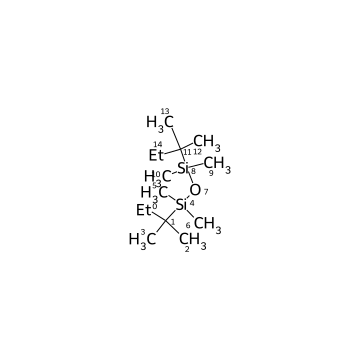 CCC(C)(C)[Si](C)(C)O[Si](C)(C)C(C)(C)CC